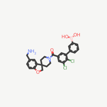 NCc1ccc2c(c1)C1(CCN(C(=O)c3cc(Cl)c(Cl)c(-c4cccc(B(O)O)c4)c3)CC1)CO2